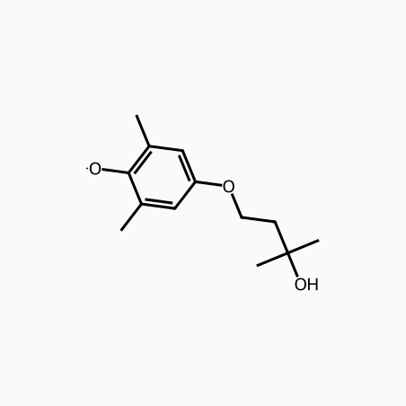 Cc1cc(OCCC(C)(C)O)cc(C)c1[O]